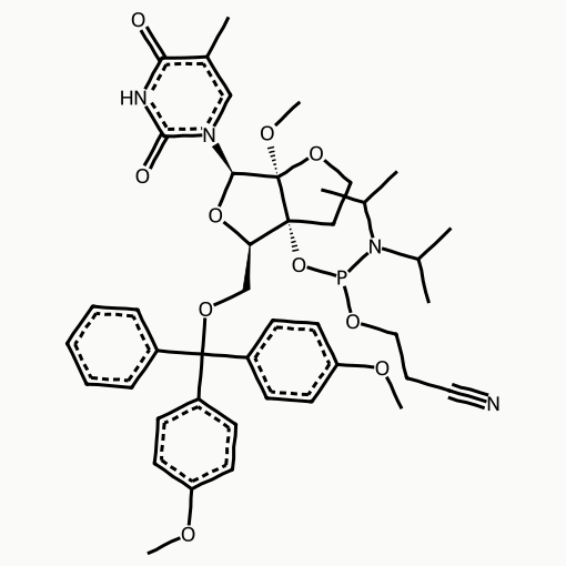 COc1ccc(C(OC[C@H]2O[C@@H](n3cc(C)c(=O)[nH]c3=O)[C@@]3(OC)OCC[C@@]23OP(OCCC#N)N(C(C)C)C(C)C)(c2ccccc2)c2ccc(OC)cc2)cc1